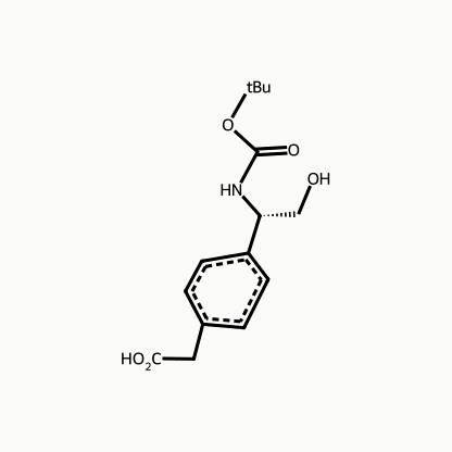 CC(C)(C)OC(=O)N[C@H](CO)c1ccc(CC(=O)O)cc1